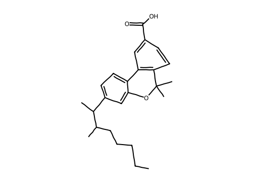 CCCCCC(C)C(C)c1ccc2c(c1)OC(C)(C)c1ccc(C(=O)O)cc1-2